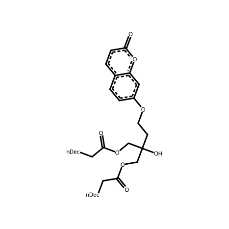 CCCCCCCCCCCC(=O)OCC(O)(CCOc1ccc2ccc(=O)oc2c1)COC(=O)CCCCCCCCCCC